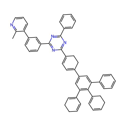 Cc1ncccc1-c1cccc(-c2nc(C3=CC=C(c4cc(C5=CCCC=C5)c(C5=CC=CCC5)c(-c5ccccc5)c4)CC3)nc(-c3ccccc3)n2)c1